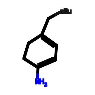 CCCCCC1=CC=C(N)CC1